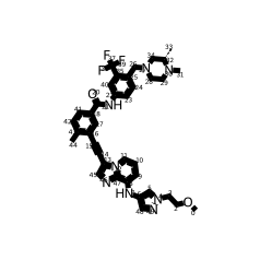 COCCn1cc(Nc2cccn3c(C#Cc4cc(C(=O)Nc5ccc(CN6CCN(C)[C@@H](C)C6)c(C(F)(F)F)c5)ccc4C)cnc23)cn1